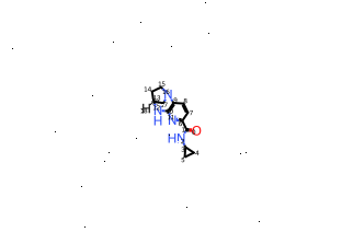 O=C(NC1CC1)c1ccc2c(n1)N[C@H]1CCN2C1